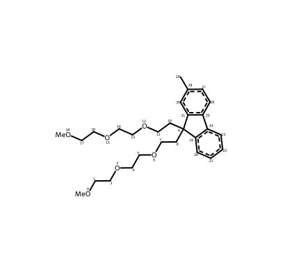 COCCOCCOCCC1(CCOCCOCCOC)c2ccccc2-c2ccc(C)cc21